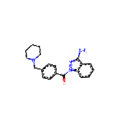 Nc1nn(C(=O)c2ccc(CN3CCCCC3)cc2)c2ccccc12